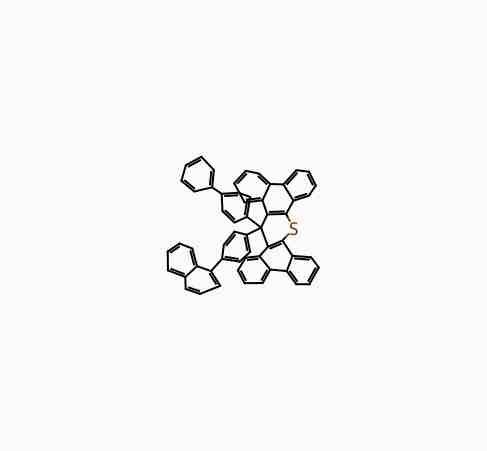 c1ccc(-c2ccc(C3(c4ccc(-c5cccc6ccccc56)cc4)c4c(c5ccccc5c5ccccc45)Sc4c3c3ccccc3c3ccccc43)cc2)cc1